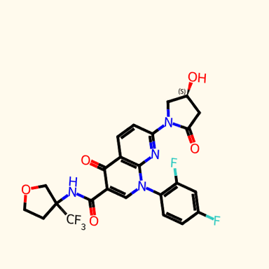 O=C(NC1(C(F)(F)F)CCOC1)c1cn(-c2ccc(F)cc2F)c2nc(N3C[C@@H](O)CC3=O)ccc2c1=O